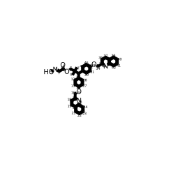 CC(C)(COC(=O)C=NO)C(c1ccc(OCc2ccc3ccccc3n2)cc1)c1ccc(OCc2ccc3ccccc3n2)cc1